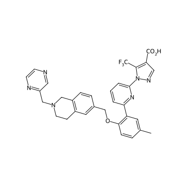 Cc1ccc(OCc2ccc3c(c2)CCN(Cc2cnccn2)C3)c(-c2cccc(-n3ncc(C(=O)O)c3C(F)(F)F)n2)c1